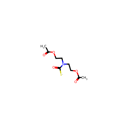 CC(=O)OCCN(CCOC(C)=O)C(=O)[S]